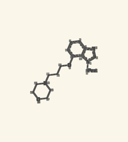 CCCCCn1cnc2cccc(OCCCN3CCOCC3)c21